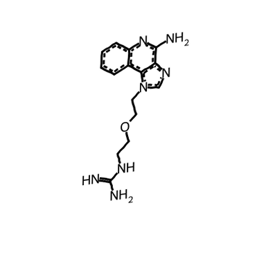 N=C(N)NCCOCCn1cnc2c(N)nc3ccccc3c21